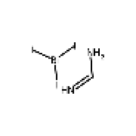 N=CN.[I][Bi]([I])[I]